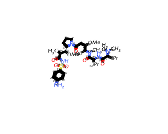 CCC(C)C(C(CC(=O)N1CCC[C@H]1C(OC)C(C)C(=O)NS(=O)(=O)c1ccc(N)cc1)OC)N(C)C(=O)C(NC(=O)C(C(C)C)N(C)C)C(C)C